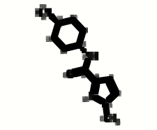 Cn1ccc(C(=O)N[C@H]2CC[C@H](N)CC2)n1